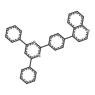 c1ccc(-c2cc(-c3ccccc3)nc(-c3ccc(-c4ccnc5ccccc45)cc3)n2)cc1